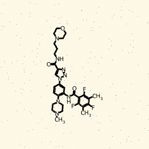 Cc1c(F)c(C)c(F)c(C(=O)Nc2cc(-n3cc(C(=O)NCCCN4CCOCC4)nn3)ccc2N2CCN(C)CC2)c1F